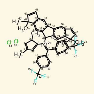 CC1=CC(C)[C]([Zr+2](=[C](c2ccc(C(F)(F)F)cc2)c2ccc(C(F)(F)F)cc2)[CH]2c3cc4c(cc3-c3cc5c(cc32)C(C)(C)C=C5)C=CC4(C)C)=C1.[Cl-].[Cl-]